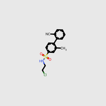 Cc1cc(S(=O)(=O)NCCCl)ccc1-c1ccccc1C#N